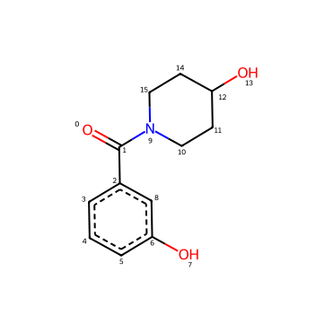 O=C(c1cccc(O)c1)N1CCC(O)CC1